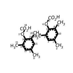 Cc1cc(C)c(OC(=O)O)c(C)c1.Cc1cc(C)c(OC(=O)O)c(C)c1